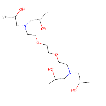 CCC(O)CN(CCOCCOCCN(CC(C)O)CC(C)O)CC(C)O